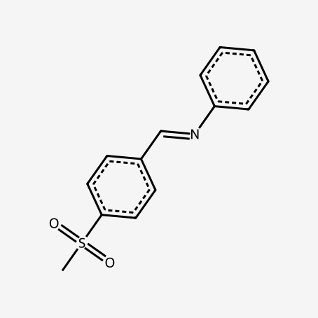 CS(=O)(=O)c1ccc(/C=N/c2ccccc2)cc1